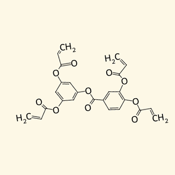 C=CC(=O)Oc1cc(OC(=O)C=C)cc(OC(=O)c2ccc(OC(=O)C=C)c(OC(=O)C=C)c2)c1